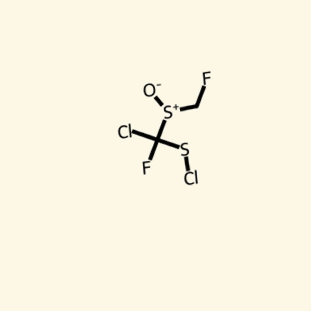 [O-][S+](CF)C(F)(Cl)SCl